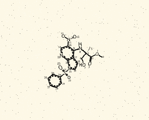 COC(=O)[C@@](C)(CO)Nc1c([N+](=O)[O-])cnc2c1ccn2S(=O)(=O)c1ccccc1